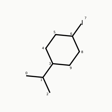 CC(C)C1CCC(I)CC1